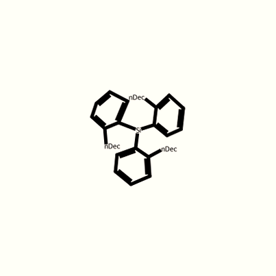 CCCCCCCCCCc1ccccc1[Si](c1ccccc1CCCCCCCCCC)c1ccccc1CCCCCCCCCC